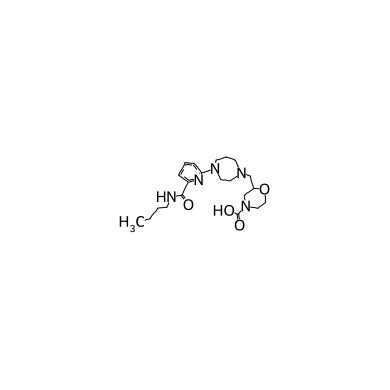 CCCCNC(=O)c1cccc(N2CCCN(CC3CN(C(=O)O)CCO3)CC2)n1